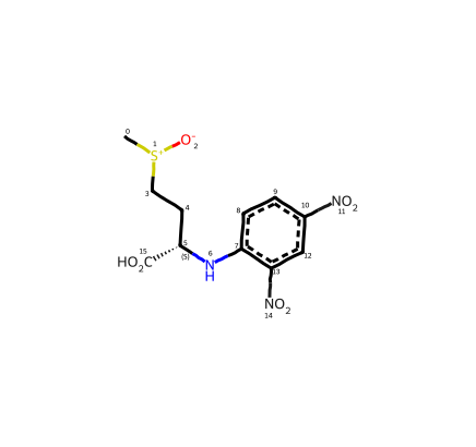 C[S+]([O-])CC[C@H](Nc1ccc([N+](=O)[O-])cc1[N+](=O)[O-])C(=O)O